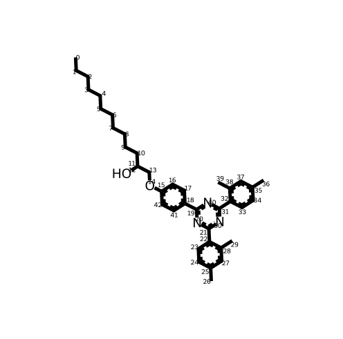 CCCCCCCCCCCC(O)COc1ccc(-c2nc(-c3ccc(C)cc3C)nc(-c3ccc(C)cc3C)n2)cc1